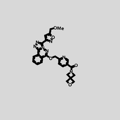 COCc1cc(-c2nnc3c4ccccc4c(OCc4ccc(C(=O)N5CC6(COC6)C5)cn4)nn23)no1